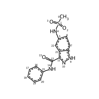 CS(=O)(=O)Nc1ccc2[nH]nc(C(=O)Nc3ccccc3)c2c1